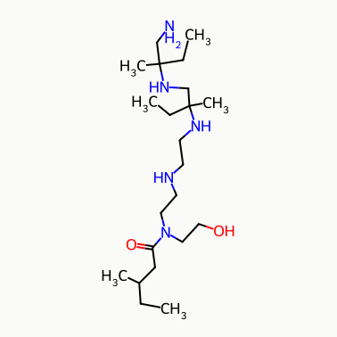 CCC(C)CC(=O)N(CCO)CCNCCNC(C)(CC)CNC(C)(CC)CN